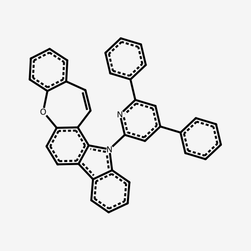 C1=Cc2c(ccc3c4ccccc4n(-c4cc(-c5ccccc5)cc(-c5ccccc5)n4)c23)Oc2ccccc21